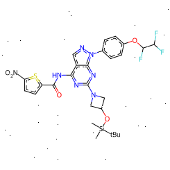 CC(C)(C)[Si](C)(C)OC1CN(c2nc(NC(=O)c3ccc([N+](=O)[O-])s3)c3cnn(-c4ccc(OC(F)C(F)F)cc4)c3n2)C1